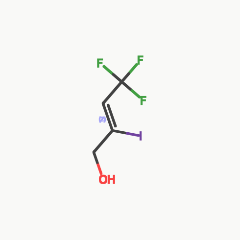 OC/C(I)=C/C(F)(F)F